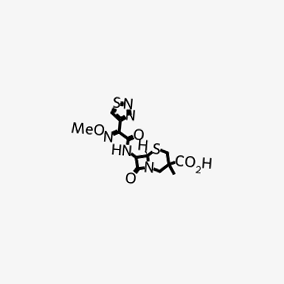 CON=C(C(=O)NC1C(=O)N2CC(C)(C(=O)O)CS[C@H]12)c1csnn1